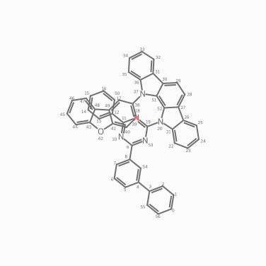 c1ccc(-c2cccc(-c3nc(-c4ccccc4)nc(-n4c5ccccc5c5ccc6c7ccccc7n(-c7ccc8oc9ccccc9c8c7)c6c54)n3)c2)cc1